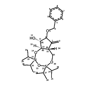 C=C1C(OCc2ccccc2)[C@@H](O)[C@@H]2O[Si](C(C)C)(C(C)C)O[Si](C(C)C)(C(C)C)OC[C@@H]12